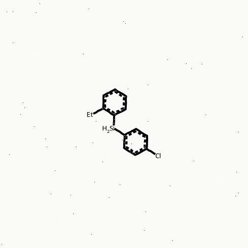 CCc1ccccc1[SiH2]c1ccc(Cl)cc1